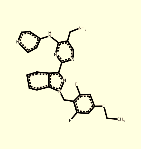 CCOc1cc(F)c(Cn2nc(-c3ncc(CN)c(Nc4ccncc4)n3)c3ccccc32)c(F)c1